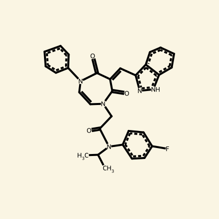 CC(C)N(C(=O)CN1C=CN(c2ccccc2)C(=O)C(=Cc2n[nH]c3ccccc23)C1=O)c1ccc(F)cc1